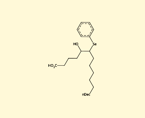 CCCCCCCCCCCCCCCC([Se]c1ccccc1)C(O)CCCC(=O)O